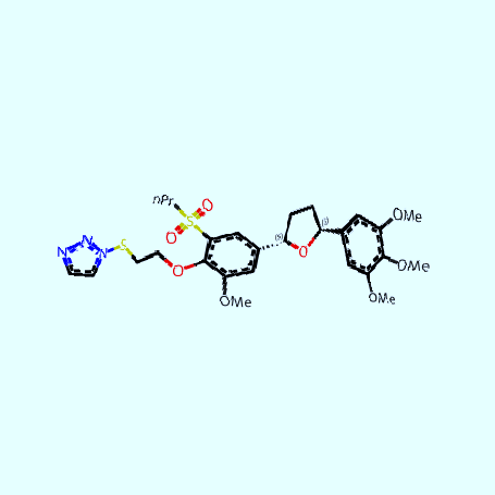 CCCS(=O)(=O)c1cc([C@@H]2CC[C@@H](c3cc(OC)c(OC)c(OC)c3)O2)cc(OC)c1OCCSn1ccnn1